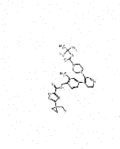 Cc1cc(-c2ccncc2N2CCN(C(=O)OC(C)(C)C)CC2)ccc1CNC(=O)c1nc(C2(CF)CC2)no1